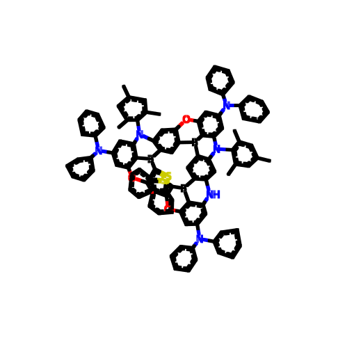 Cc1cc(C)c(N2c3cc4c(cc3B3c5cc6c(cc5Oc5cc(N(c7ccccc7)c7ccccc7)cc2c53)N(c2c(C)cc(C)cc2C)c2cc(N(c3ccccc3)c3ccccc3)cc3c2B6c2sc5ccccc5c2O3)B2c3sc5ccccc5c3Oc3cc(N(c5ccccc5)c5ccccc5)cc(c32)N4)c(C)c1